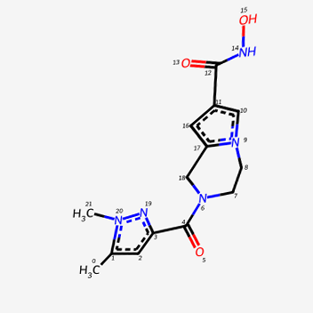 Cc1cc(C(=O)N2CCn3cc(C(=O)NO)cc3C2)nn1C